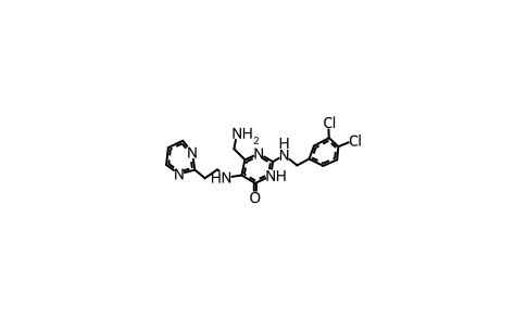 NCc1nc(NCc2ccc(Cl)c(Cl)c2)[nH]c(=O)c1NCCc1ncccn1